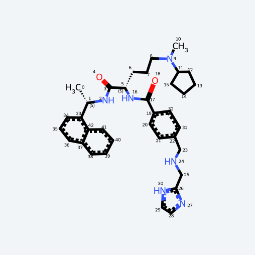 C[C@H](NC(=O)[C@H](CCCN(C)C1CCCC1)NC(=O)c1ccc(CNCc2ncc[nH]2)cc1)c1cccc2ccccc12